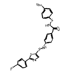 CC(C)(C)c1ccc(SNC(=O)c2ccc(NSc3cnc(-c4ccc(F)cc4)s3)cc2)cc1